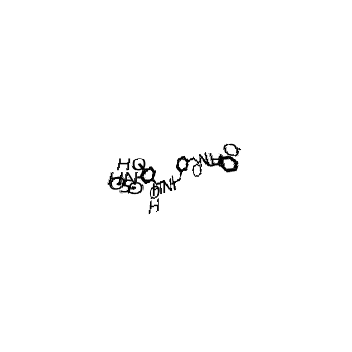 COc1cccc(CNC(=O)Cc2cccc(CC(C)(C)NC[C@H](O)c3ccc(O)c(NS(C)(=O)=O)c3)c2)c1